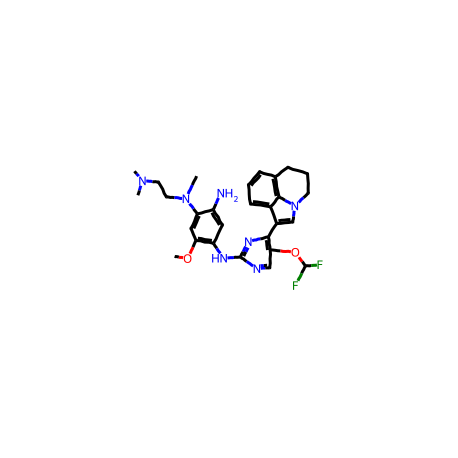 COc1cc(N(C)CCN(C)C)c(N)cc1Nc1ncc(OC(F)F)c(-c2cn3c4c(cccc24)CCC3)n1